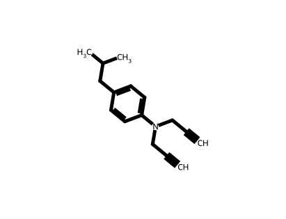 C#CCN(CC#C)c1ccc(CC(C)C)cc1